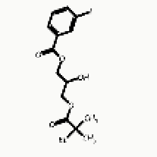 CCC(C)(C)C(=O)OCC(O)COC(=O)c1cccc(I)c1